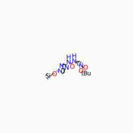 CC(C)(C)OC(=O)N1CC[C@@H](NC(=O)Nc2cnc3c(ccn3COCC[Si](C)(C)C)n2)C1